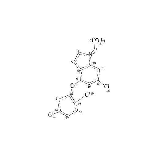 O=C(O)Cn1ccc2c(Oc3cc(Cl)ccc3Cl)cc(Cl)cc21